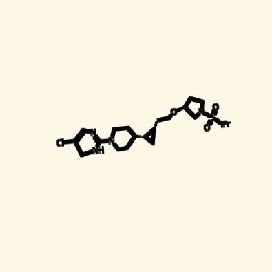 CC(C)S(=O)(=O)N1CC[C@H](OCC[C@@H]2C[C@@H]2C2CCN(C3=NC=C(Cl)CN3)CC2)C1